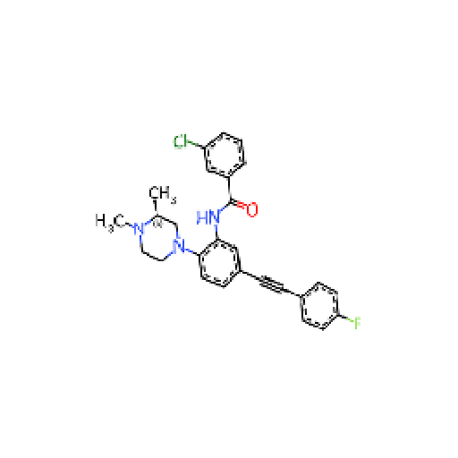 C[C@H]1CN(c2ccc(C#Cc3ccc(F)cc3)cc2NC(=O)c2cccc(Cl)c2)CCN1C